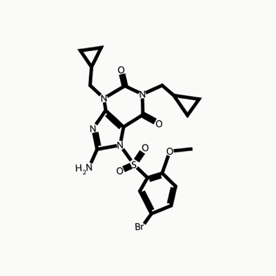 COc1ccc(Br)cc1S(=O)(=O)n1c(N)nc2c1c(=O)n(CC1CC1)c(=O)n2CC1CC1